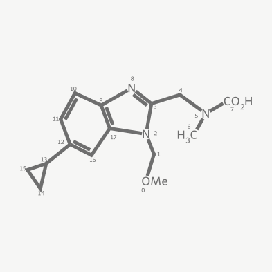 COCn1c(CN(C)C(=O)O)nc2ccc(C3CC3)cc21